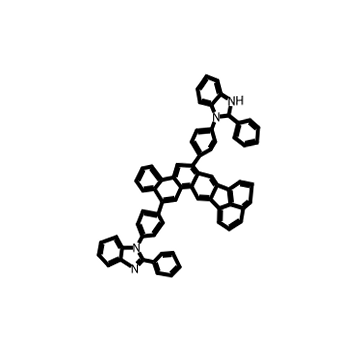 c1ccc(-c2nc3ccccc3n2-c2ccc(-c3cc4c5cc6c(cc5c(-c5ccc(N7c8ccccc8NC7c7ccccc7)cc5)cc4c4ccccc34)-c3cccc4cccc-6c34)cc2)cc1